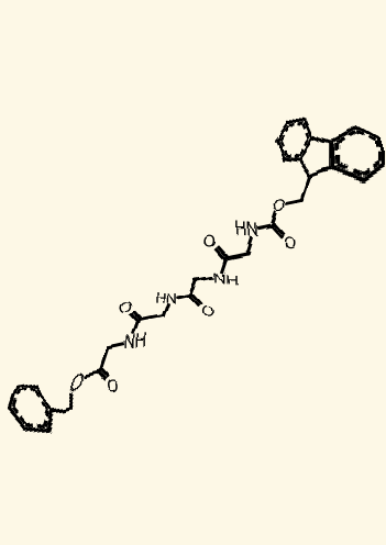 O=C(CNC(=O)CNC(=O)OCC1c2ccccc2-c2ccccc21)NCC(=O)NCC(=O)OCc1ccccc1